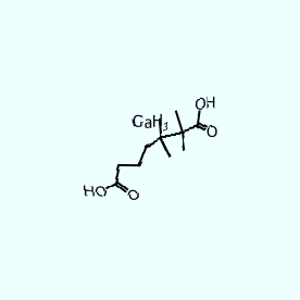 CC(C)(CCCC(=O)O)C(C)(C)C(=O)O.[GaH3]